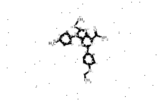 CCOc1ccc(-c2nc(C(N)=O)c3nc(SC)n(-c4ccc(C)cc4)c3n2)cc1